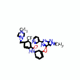 CN1CCN(Cc2ccc(C(=O)Nc3cccc(Oc4nc(-c5cccnc5)nc5nn(C)cc45)c3)cc2C(F)(F)F)CC1